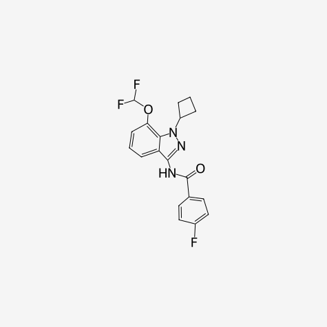 O=C(Nc1nn(C2CCC2)c2c(OC(F)F)cccc12)c1ccc(F)cc1